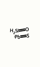 O=[SiH2].[S]=[Pb]